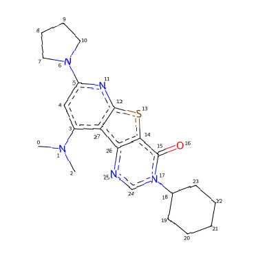 CN(C)c1cc(N2CCCC2)nc2sc3c(=O)n(C4CCCCC4)cnc3c12